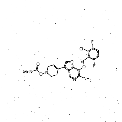 CNC(=O)ON1CC=C(c2coc3c(O[C@H](C)c4c(F)ccc(F)c4Cl)c(N)ncc23)CC1